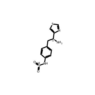 N[C@@H](Cc1ccc(N[SH](=O)=O)cc1)c1cscn1